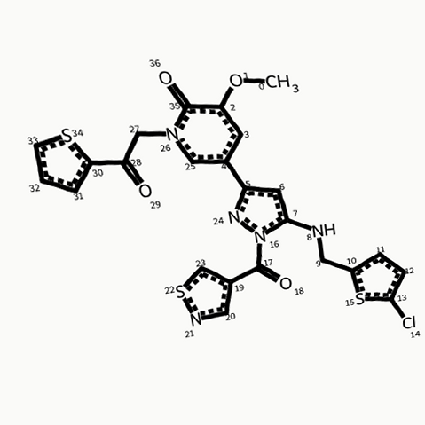 COc1cc(-c2cc(NCc3ccc(Cl)s3)n(C(=O)c3cnsc3)n2)cn(CC(=O)c2cccs2)c1=O